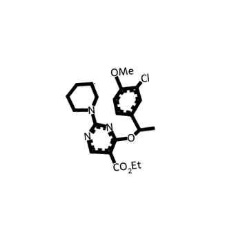 CCOC(=O)c1cnc(N2C[CH]CCC2)nc1OC(C)c1ccc(OC)c(Cl)c1